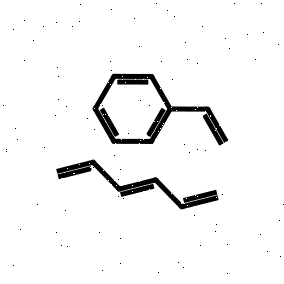 C=CC=CC=C.C=Cc1ccccc1